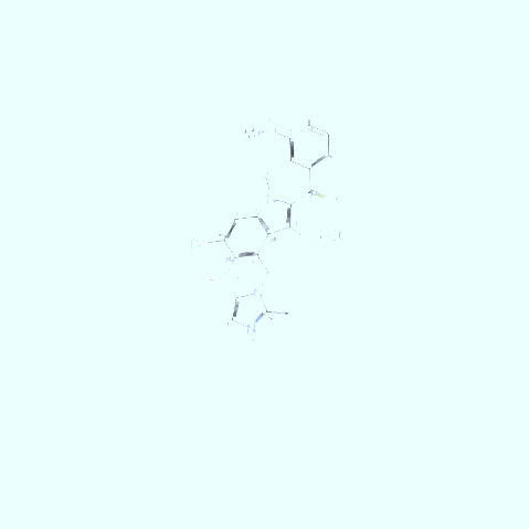 CCOC(=O)c1c(C(=S)c2cccc(OC)c2)n(C)c2cc(Br)c(O)c(Cn3ccnc3C)c12